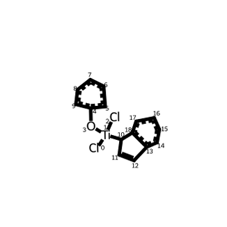 [Cl][Ti]([Cl])([O]c1ccccc1)[CH]1C=Cc2ccccc21